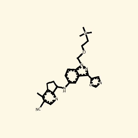 Cc1c(C#N)cnc2c1CCC2Nc1ccc2c(c1)c(-c1cnco1)nn2COCC[Si](C)(C)C